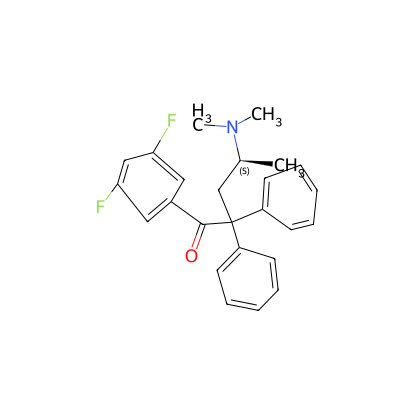 C[C@@H](CC(C(=O)c1cc(F)cc(F)c1)(c1ccccc1)c1ccccc1)N(C)C